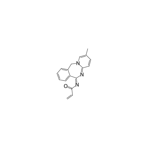 C=CC(=O)/N=C1/N=C2C=CC(C)=CN2Cc2ccccc21